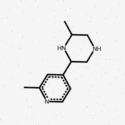 Cc1cc(C2CNCC(C)N2)ccn1